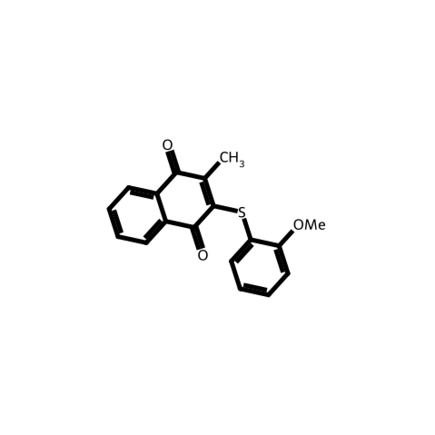 COc1ccccc1SC1=C(C)C(=O)c2ccccc2C1=O